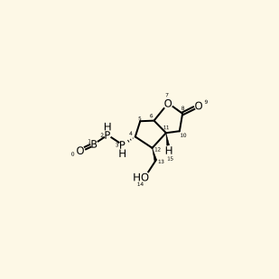 O=BPP[C@@H]1CC2OC(=O)C[C@@H]2[C@H]1CO